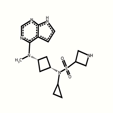 CN(c1ncnc2[nH]ccc12)[C@H]1C[C@@H](N(C2CC2)S(=O)(=O)C2CNC2)C1